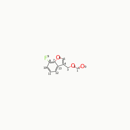 O=[C]OCc1coc2c(F)cccc12